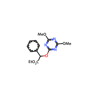 CCOC(=O)C(Oc1nc(OC)nc(OC)n1)c1ccccc1